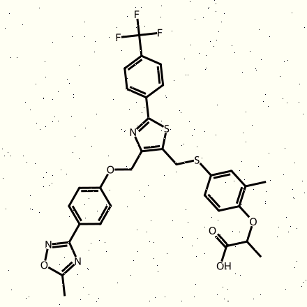 Cc1nc(-c2ccc(OCc3nc(-c4ccc(C(F)(F)F)cc4)sc3CSc3ccc(OC(C)C(=O)O)c(C)c3)cc2)no1